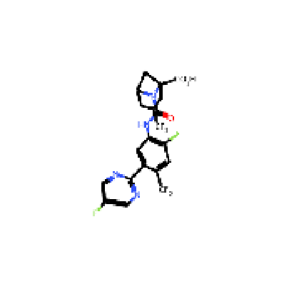 O=C(Nc1cc(-c2ncc(F)cn2)c(C(F)(F)F)cc1F)N1C2CC(C(F)(F)F)CC1(C(=O)O)C2